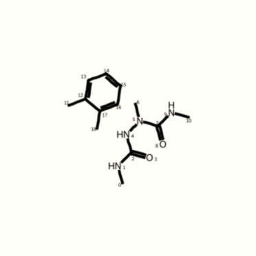 CNC(=O)NN(C)C(=O)NC.Cc1ccccc1C